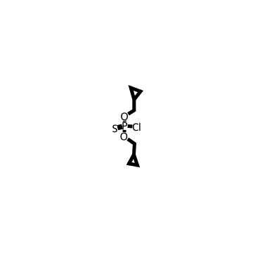 S=P(Cl)(OCC1CC1)OCC1CC1